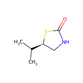 CC(C)[C@@H]1CNC(=O)S1